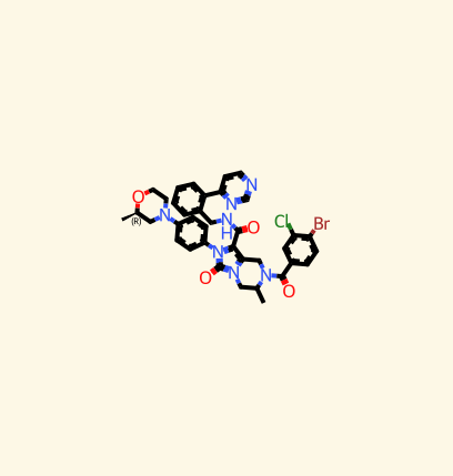 CC1Cn2c(c(C(=O)NCc3ccccc3-c3ccncn3)n(-c3ccc(N4CCO[C@H](C)C4)cc3)c2=O)CN1C(=O)c1ccc(Br)c(Cl)c1